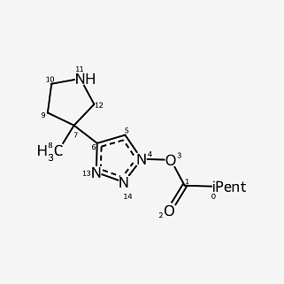 CCCC(C)C(=O)On1cc(C2(C)CCNC2)nn1